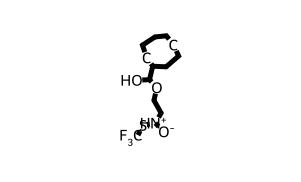 [O-][NH+](CCOC(O)C1CCCCCCC1)SC(F)(F)F